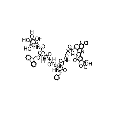 CC[C@@]1(O)C(=O)OCc2c1cc1n(c2=O)Cc2c-1nc1cc(Cl)c(C)c3c1c2[C@@H](NC(=O)C(C)(C)COCNC(=O)CNC(=O)[C@H](Cc1ccccc1)NC(=O)CNC(=O)CNC(=O)[C@H](CCC(=O)NC[C@@H]1O[C@H](CO)[C@@H](O)[C@H](O)[C@H]1O)NC(=O)OCC1c2ccccc2-c2ccccc21)CC3